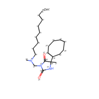 CCCCCCCCCCCCCCCCCCN(C)CN1C(=O)NC(C)(C2CCCCCCC2)C1=O